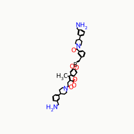 Cc1c(CC(=O)N2CCC(c3cccc(CN)c3)CC2)c(=O)oc2cc3c(cc12)OB(C=Cc1cccc(C(=O)N2CCC(c4cccc(CN)c4)CC2)c1)O3